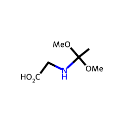 COC(C)(NCC(=O)O)OC